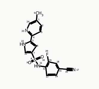 Cc1ccc(-c2cc(S(=O)(=O)Nc3ccc(C#N)cc3F)c[nH]2)nc1